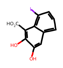 O=C(O)c1c(O)c(O)cc2cccc(I)c12